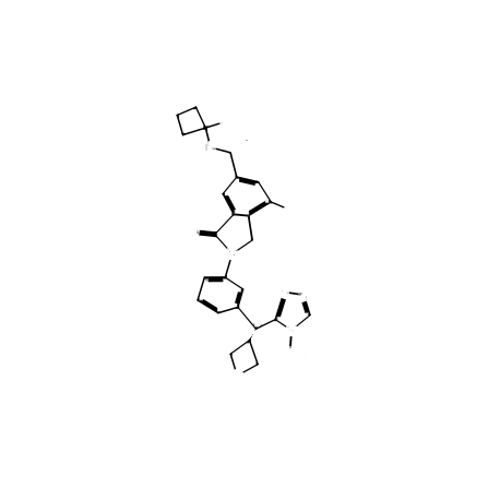 CC[C@@H](NC1(C)CCC1)c1cc2c(c(C(F)(F)F)c1)CN(c1cccc([C@@H](c3nncn3C)C3COC3)c1)C2=O